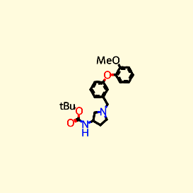 COc1ccccc1Oc1cccc(CN2CCC(NC(=O)OC(C)(C)C)C2)c1